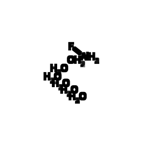 O.O.O.O.O.O.[F][AlH2]